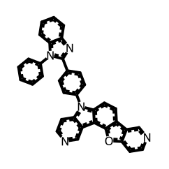 c1ccc(-n2c(-c3ccc(-n4c5ccncc5c5c6oc7ccncc7c6ccc54)cc3)nc3ccccc32)cc1